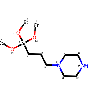 CCO[Si](CCCN1CCNCC1)(OCC)OCC